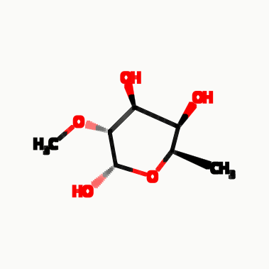 CO[C@@H]1[C@@H](O)[C@@H](O)[C@@H](C)O[C@@H]1O